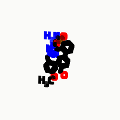 COc1ccc(Cn2nnc(-c3c(-c4ccc(C=O)cc4)cccc3S(N)(=O)=O)n2)cc1